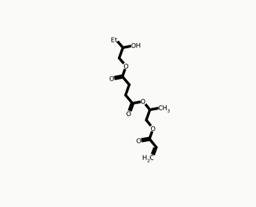 C=CC(=O)OCC(C)OC(=O)CCC(=O)OCC(O)CC